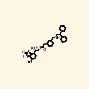 O=C(Cc1cccc(CNCC(c2ccccc2)c2ccccc2)c1)NCC(O)c1ccc(O)c2[nH]c(=O)sc12